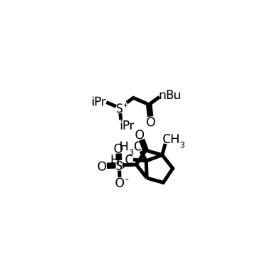 CC12CCC(C(S(=O)(=O)[O-])C1=O)C2(C)C.CCCCC(=O)C[S+](C(C)C)C(C)C